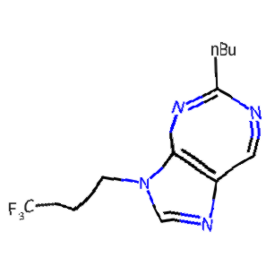 CCCCc1ncc2ncn(CCC(F)(F)F)c2n1